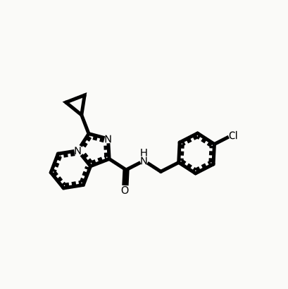 O=C(NCc1ccc(Cl)cc1)c1nc(C2CC2)n2ccccc12